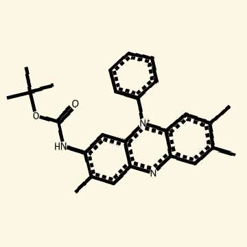 Cc1cc2nc3cc(C)c(NC(=O)OC(C)(C)C)cc3[n+](-c3ccccc3)c2cc1C